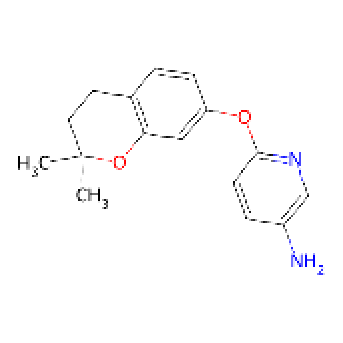 CC1(C)CCc2ccc(Oc3ccc(N)cn3)cc2O1